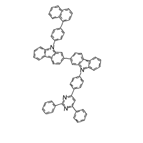 c1ccc(-c2cc(-c3ccc(-n4c5ccccc5c5ccc(-c6ccc7c8ccccc8n(-c8ccc(-c9cccc%10ccccc9%10)cc8)c7c6)cc54)cc3)nc(-c3ccccc3)n2)cc1